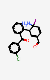 NC1(I)C=CC(C=O)=CC1c1ccccc1C(=O)c1cccc(Cl)c1